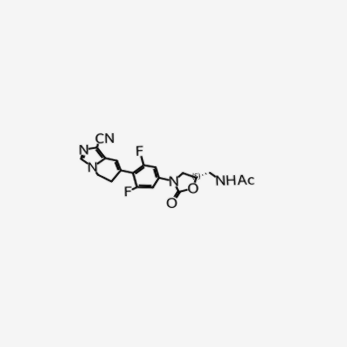 CC(=O)NC[C@H]1CN(c2cc(F)c(C3=Cc4c(C#N)ncn4CC3)c(F)c2)C(=O)O1